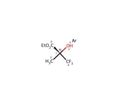 CCOC(=O)[C@@](C)(O)C(F)(F)F.[Ar]